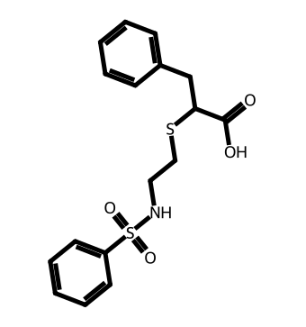 O=C(O)C(Cc1ccccc1)SCCNS(=O)(=O)c1ccccc1